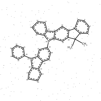 CC1(C)c2ccccc2-c2cc3c4ccccc4n(-c4ccc5c6ccccc6n(-c6ccccc6)c5c4)c3cc21